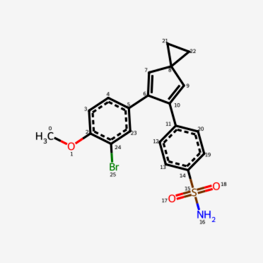 COc1ccc(C2=CC3(C=C2c2ccc(S(N)(=O)=O)cc2)CC3)cc1Br